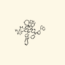 CC(C)c1cc2c3c(c1)N1c4c(cccc4C4(C)CCCCC14C)B3c1ccc(N(c3ccccc3)c3cccc(-c4cccc5ccccc45)c3)cc1N2c1ccc2c(c1)oc1ccccc12